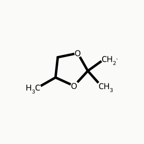 [CH2]C1(C)OCC(C)O1